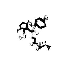 CCOc1c(F)ccc(F)c1[C@H](CCC(=O)NC(=O)C1CC1)S(=O)(=O)c1ccc(Cl)cc1